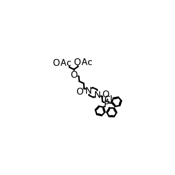 CC(=O)OCC(COC(C)=O)OCCCC(=O)N1CCN(C(=O)CP(Cl)(c2ccccc2)(c2ccccc2)c2ccccc2)CC1